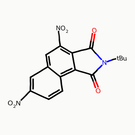 CC(C)(C)N1C(=O)c2c([N+](=O)[O-])cc3cc([N+](=O)[O-])ccc3c2C1=O